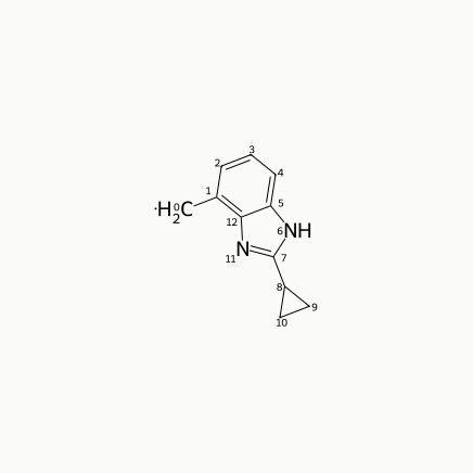 [CH2]c1cccc2[nH]c(C3CC3)nc12